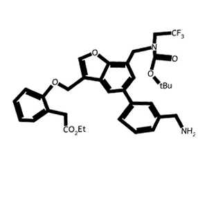 CCOC(=O)Cc1ccccc1OCc1coc2c(CN(CC(F)(F)F)C(=O)OC(C)(C)C)cc(-c3cccc(CN)c3)cc12